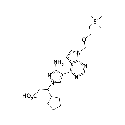 C[Si](C)(C)CCOCn1ccc2c(-c3cn(C(CC(=O)O)C4CCCC4)nc3N)ncnc21